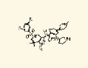 CN1CCN(c2ccc(C(=O)Nc3n[nH]c4c3CN(S(=O)(=O)c3cc(F)cc(F)c3)CC4(C)C)c(NC3CCCNC3)c2)CC1